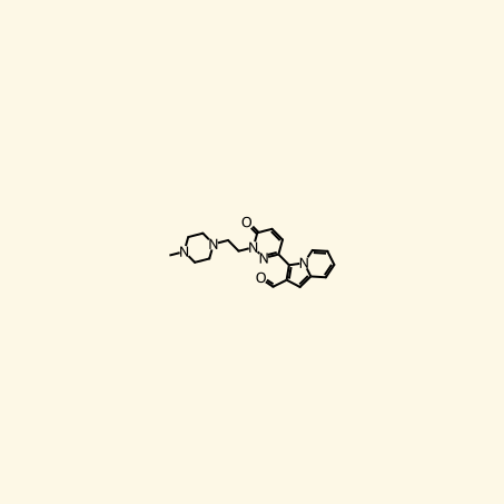 CN1CCN(CCn2nc(-c3c(C=O)cc4ccccn34)ccc2=O)CC1